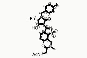 CC(=O)NCC(=O)N(C)Cc1cccc2c1S(=O)(=O)N=C2C1=C(O)[C@H](C(C)(C)C)N(Cc2ccc(F)cc2)C1=O